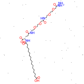 NNC(=O)COCCOCCNC(=O)COCCOCCNC(=O)CC[C@H](NC(=O)CCCCCCCCCCCCCCCCC(=O)O)C(=O)O